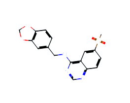 CS(=O)(=O)c1ccc2ncnc(NCc3ccc4c(c3)OCO4)c2c1